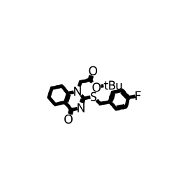 CC(C)(C)OC(=O)Cn1c(SCc2ccc(F)cc2)nc(=O)c2c1CCCC2